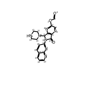 O=COc1cnc2c(n1)C(N1CCNCC1)N(c1ccc3cccnc3n1)C2=O